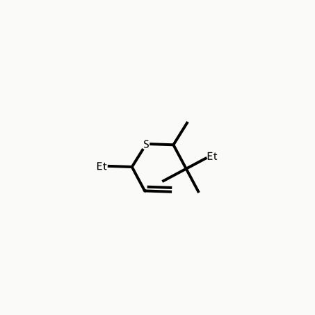 C=CC(CC)SC(C)C(C)(C)CC